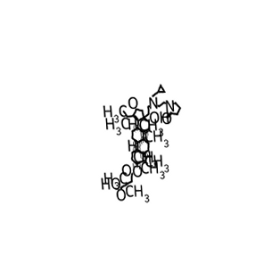 CC(C)C1=C2[C@H]3CC[C@@H]4[C@@]5(C)CC[C@H](OC(=O)CC(C)(C)C(=O)O)C(C)(C)[C@@H]5CC[C@@]4(C)[C@]3(C)CCC2(C(O)CN(CCN2CCCC2=O)CC2CC2)CC1=O